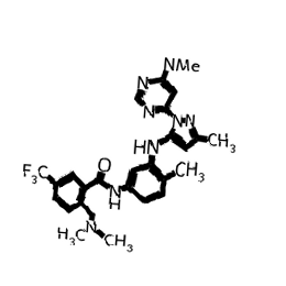 CNc1cc(-n2nc(C)cc2Nc2cc(NC(=O)c3cc(C(F)(F)F)ccc3CN(C)C)ccc2C)ncn1